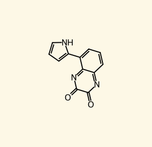 O=C1N=c2cccc(-c3ccc[nH]3)c2=NC1=O